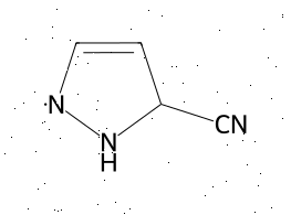 N#CC1C=C[N]N1